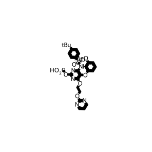 COc1cccc(Oc2c(NS(=O)(=O)c3ccc(C(C)(C)C)cc3)nc(OC(=O)O)nc2OCCOc2ncccn2)c1